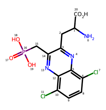 NC(Cc1nc2c(Cl)ccc(Cl)c2nc1CP(=O)(O)O)C(=O)O